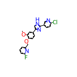 COc1cc(-c2c[nH]c(-c3ccc(Cl)nc3)n2)ccc1OCc1cccc(F)n1